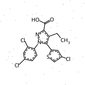 CCc1c(C(=O)O)nn(-c2ccc(Cl)cc2Cl)c1-c1cc(Cl)cs1